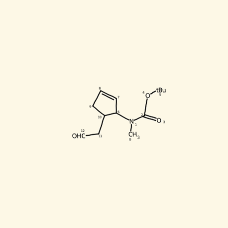 CN(C(=O)OC(C)(C)C)C1C=CCC1CC=O